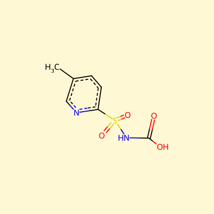 Cc1ccc(S(=O)(=O)NC(=O)O)nc1